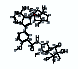 COc1ncc(-c2cc(CN3[C@@H]4CC[C@H]3CC(F)(F)C4)c3c(N)ncnn23)cc1C(=O)N[C@@H]1CN(C(=O)C(C)(O)C(F)(F)F)C[C@@H]1F